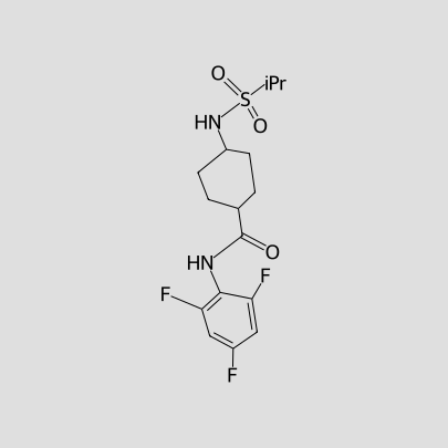 CC(C)S(=O)(=O)NC1CCC(C(=O)Nc2c(F)cc(F)cc2F)CC1